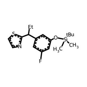 CCC(c1cc(F)cc(O[Si](C)(C)C(C)(C)C)c1)c1nccs1